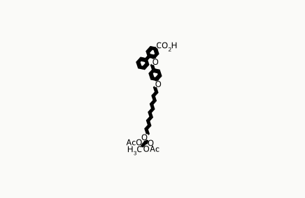 CC(=O)OC(C)(OC(C)=O)C(=O)OCCCCCCCCCCCCOc1ccc(COc2cc(C(=O)O)ccc2-c2ccccc2)cc1